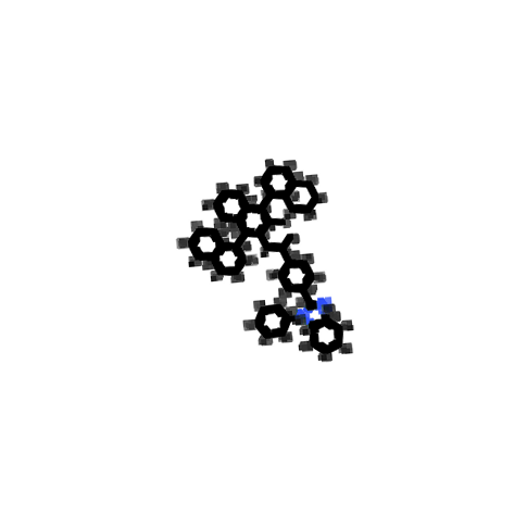 C/C(=C\c1c(C)c(-c2cccc3c2C=CCC3)c2ccccc2c1-c1cccc2ccccc12)c1ccc(-c2nc3ccccc3n2-c2ccccc2)cc1